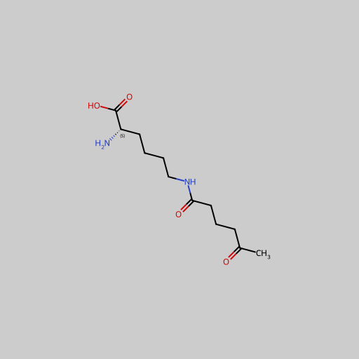 CC(=O)CCCC(=O)NCCCC[C@H](N)C(=O)O